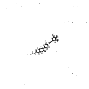 CCCc1ccc2cc(-c3ccc(C#Cc4cc(F)c(F)c(F)c4)c(F)c3)c(F)cc2c1